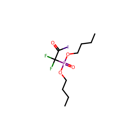 CCCCOP(=O)(OCCCC)C(F)(F)C(=O)I